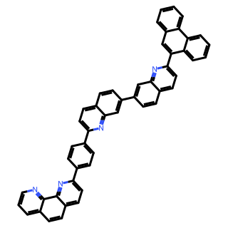 c1ccc2c(c1)cc(-c1ccc3ccc(-c4ccc5ccc(-c6ccc(-c7ccc8ccc9cccnc9c8n7)cc6)nc5c4)cc3n1)c1ccccc12